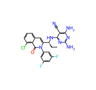 CC[C@H](Nc1nc(N)nc(N)c1C#N)c1cc2cccc(Cl)c2c(=O)n1-c1cc(F)cc(F)c1